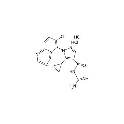 Cl.Cl.N=C(N)NC(=O)c1cnn(-c2c(Cl)ccc3ncccc23)c1C1CC1